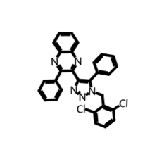 Clc1cccc(Cl)c1Cn1nnc(-c2nc3ccccc3nc2-c2ccccc2)c1-c1ccccc1